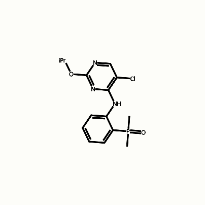 CC(C)Oc1ncc(Cl)c(Nc2ccccc2P(C)(C)=O)n1